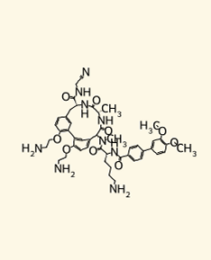 COc1ccc(-c2ccc(C(=O)N[C@@H](CCCCN)C(=O)N(C)[C@@H]3C(=O)N[C@@H](C)C(=O)N[C@H](C(=O)NCC#N)Cc4ccc(OCCN)c(c4)-c4cc3ccc4OCCN)cc2)cc1OC